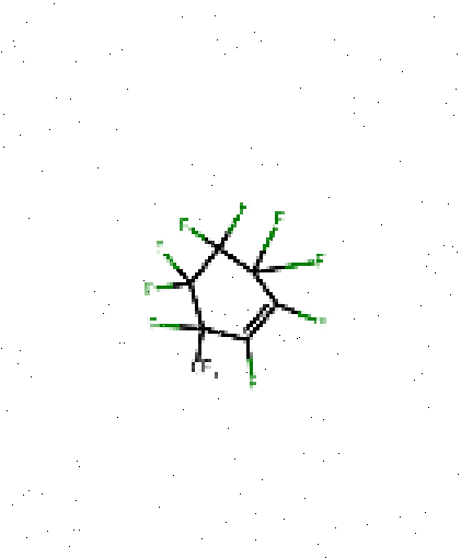 FC1=C(F)C(F)(C(F)(F)F)C(F)(F)C(F)(F)C1(F)F